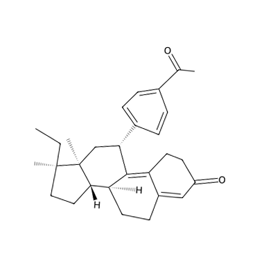 CC[C@]1(C)CC[C@H]2[C@@H]3CCC4=CC(=O)CCC4=C3[C@@H](c3ccc(C(C)=O)cc3)C[C@@]21C